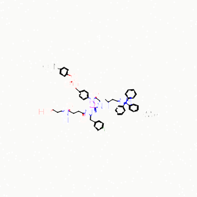 COc1ccc(C(NCCCC[C@H](NC(=O)C[C@H](Cc2ccc(Cl)cc2)NC(=O)CCC(=O)NCCCO)C(=O)Nc2ccc(COC(=O)Oc3ccc([N+](=O)[O-])cc3)cc2)(c2ccccc2)c2ccccc2)cc1